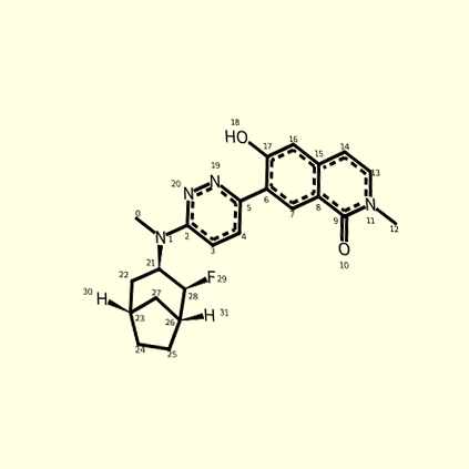 CN(c1ccc(-c2cc3c(=O)n(C)ccc3cc2O)nn1)[C@@H]1C[C@H]2CC[C@H](C2)[C@@H]1F